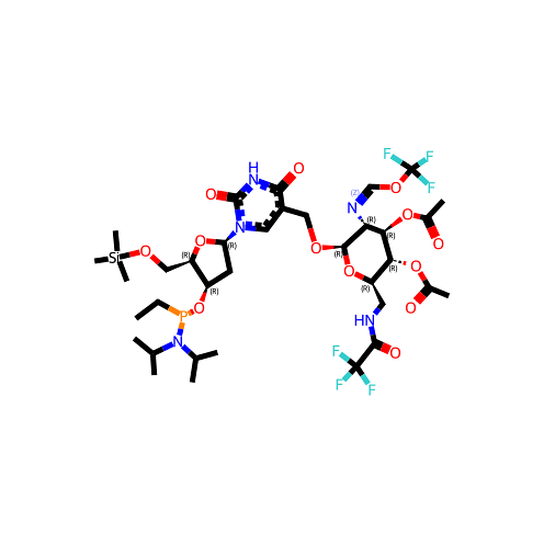 CCP(O[C@@H]1C[C@H](n2cc(CO[C@@H]3O[C@H](CNC(=O)C(F)(F)F)[C@@H](OC(C)=O)[C@H](OC(C)=O)[C@H]3/N=C\OC(F)(F)F)c(=O)[nH]c2=O)O[C@@H]1CO[Si](C)(C)C)N(C(C)C)C(C)C